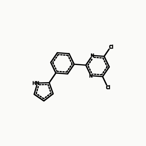 Clc1cc(Cl)nc(-c2cccc(-c3ccc[nH]3)c2)n1